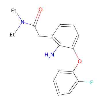 CCN(CC)C(=O)Cc1cccc(Oc2ccccc2F)c1N